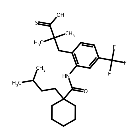 CC(C)CCC1(C(=O)Nc2cc(C(F)(F)F)ccc2CC(C)(C)C(O)=S)CCCCC1